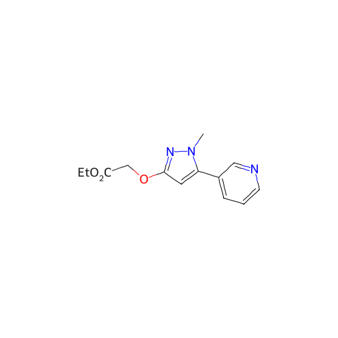 CCOC(=O)COc1cc(-c2cccnc2)n(C)n1